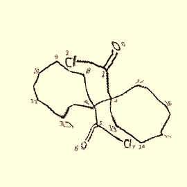 O=C(Cl)C1(C2(C(=O)Cl)CCCCC2)CCCCC1